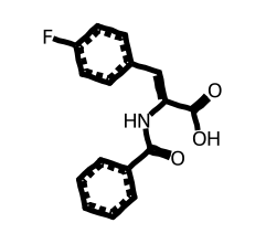 O=C(O)C(=Cc1ccc(F)cc1)NC(=O)c1ccccc1